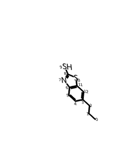 CCCc1ccc2nc(S)sc2c1